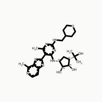 Cc1nc(NCC2CCOCC2)nc(N[C@@H]2C[C@H](C(C)(C)O)[C@@H](O)[C@H]2O)c1-c1nc2c(C)nccc2s1